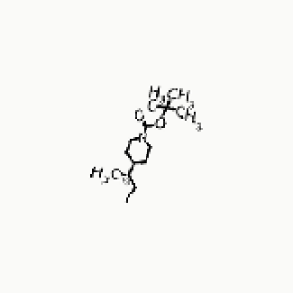 C[C@H](CI)C1CCN(C(=O)OC(C)(C)C)CC1